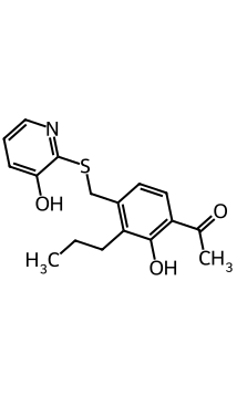 CCCc1c(CSc2ncccc2O)ccc(C(C)=O)c1O